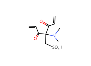 C=CC(=O)C(CS(=O)(=O)O)(C(=O)C=C)N(C)C